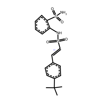 CC(C)(C)c1ccc(/C=C/S(=O)(=O)Nc2ccccc2S(N)(=O)=O)cc1